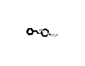 O=C(O)N1CCN[C@H](CCc2ccccc2)CC1